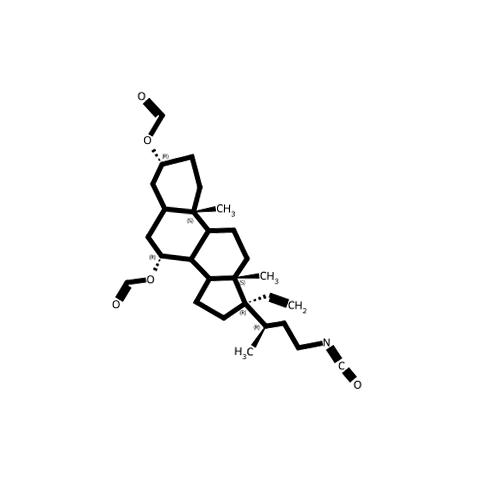 C=C[C@]1([C@H](C)CCN=C=O)CCC2C3C(CC[C@@]21C)[C@@]1(C)CC[C@@H](OC=O)CC1C[C@H]3OC=O